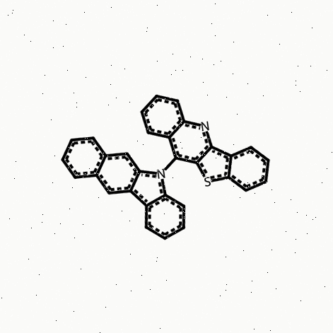 c1ccc2cc3c(cc2c1)c1ccccc1n3-c1c2ccccc2nc2c1sc1ccccc12